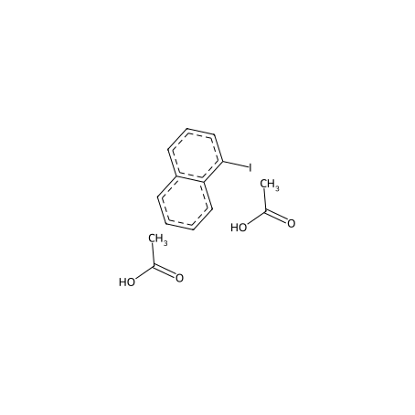 CC(=O)O.CC(=O)O.Ic1cccc2ccccc12